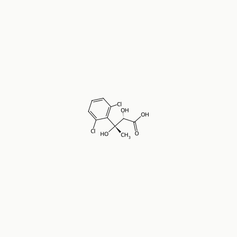 C[C@@](O)(c1c(Cl)cccc1Cl)[C@H](O)C(=O)O